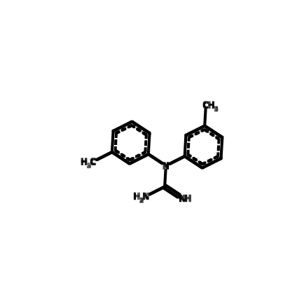 Cc1cccc(N(C(=N)N)c2cccc(C)c2)c1